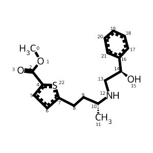 COC(=O)c1ccc(CC[C@@H](C)NC[C@H](O)c2ccccc2)s1